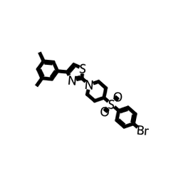 Cc1cc(C)cc(-c2csc(N3CCC(S(=O)(=O)c4ccc(Br)cc4)CC3)n2)c1